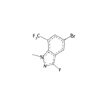 Cn1nc(F)c2cc(Br)cc(C(F)(F)F)c21